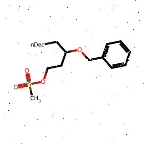 CCCCCCCCCCCC(CCOS(C)(=O)=O)OCc1ccccc1